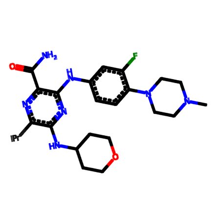 CC(C)c1nc(C(N)=O)c(Nc2ccc(N3CCN(C)CC3)c(F)c2)nc1NC1CCOCC1